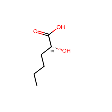 CCCC[C@@H](O)C(=O)O